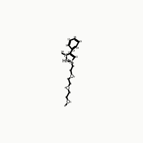 COCCOCCOCCN1C=C(c2ccccc2)N(C)N1